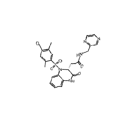 Cc1cc(S(=O)(=O)N2c3ccccc3NC(=O)[C@H]2CC(=O)NCc2cnccn2)c(C)cc1Cl